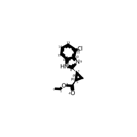 CCOC(=O)[C@@H]1C[C@H]1c1nc2c(Cl)cccc2[nH]1